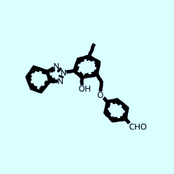 Cc1cc(COc2ccc(C=O)cc2)c(O)c(-n2nc3ccccc3n2)c1